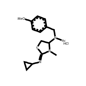 COc1ccc(CN(C(C)=O)C2CSC(=NC3CC3)N2C)cc1.Cl